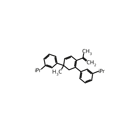 C=C(C)C1=C(c2cccc(C(C)C)c2)CC(C)(c2cccc(C(C)C)c2)C=C1